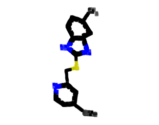 COc1ccnc(CSc2nc3cc(C(F)(F)F)ccc3[nH]2)c1